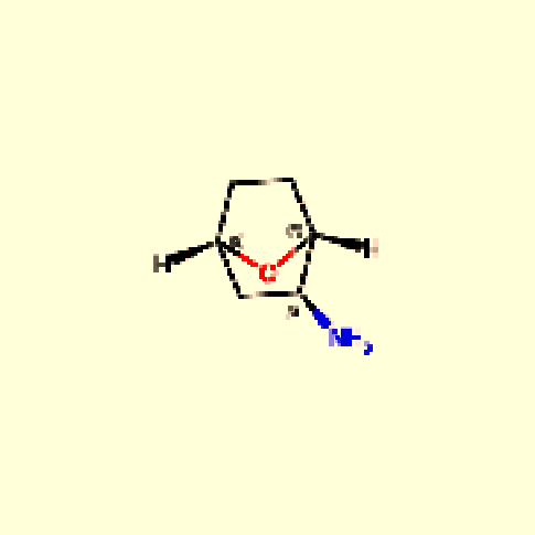 N[C@H]1C[C@@H]2CC[C@H]1O2